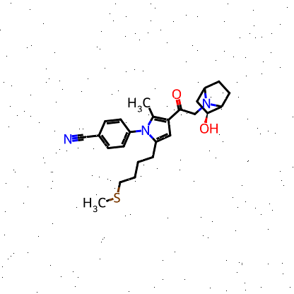 CSCCCCc1cc(C(=O)CN2C3CCC2[C@@H](O)C3)c(C)n1-c1ccc(C#N)cc1